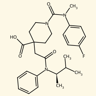 CC(C)[C@@H](C)N(C(=O)CC1(C(=O)O)CCN(C(=O)N(C)c2ccc(F)cc2)CC1)c1ccccc1